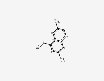 CC(=O)Cc1cc(C)cc2ccc(C)cc12